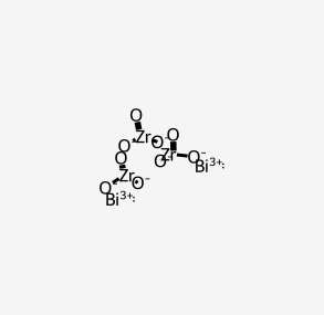 [Bi+3].[Bi+3].[O]=[Zr]([O-])[O-].[O]=[Zr]([O-])[O-].[O]=[Zr]([O-])[O-]